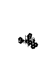 OCCc1cccc2cccc(-c3ncc4c(N5CC6CCC(C5)N6)nc(OCC56CCCN5CCC6)nc4c3F)c12